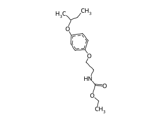 CCOC(=O)NCCOc1ccc(OC(C)CC)cc1